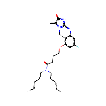 C=c1c(=O)[nH]c2n1Cc1c(cc(F)cc1OCCCC(=O)N(CCCCC)CCCCC)N=2